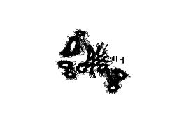 N#Cc1c(-c2ccc(-n3c4ccccc4c4ccccc43)cc2)c(-c2ccc(-n3c4ccccc4c4ccccc43)cc2)c(C2CC=NCC2)c(C2CCNCC2)c1-c1ccc(-n2c3ccccc3c3ccccc32)cc1